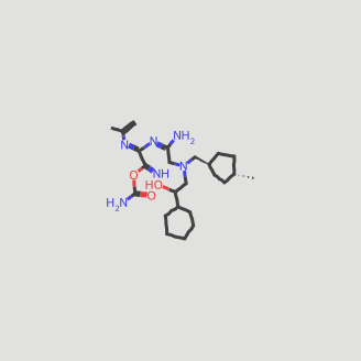 C=C(C)/N=C(\N=C(\N)CN(CC(O)C1CCCCC1)C[C@H]1CC[C@H](C)CC1)C(=N)OC(N)=O